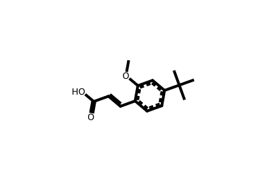 COc1cc(C(C)(C)C)ccc1C=CC(=O)O